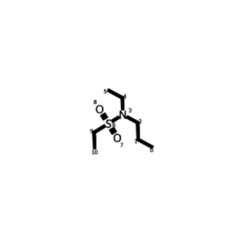 CCCN(CC)S(=O)(=O)CC